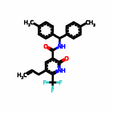 C=CCc1cc(C(=O)NC(c2ccc(C)cc2)c2ccc(C)cc2)c(=O)[nH]c1C(F)(F)F